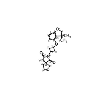 CC1(C)COc2cccc(OC3CC(N4C(=O)N[C@]5(CCOC5)C4=O)C3)c21